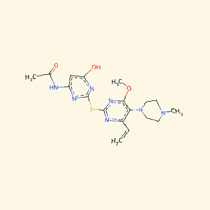 C=Cc1nc(Sc2nc(O)cc(NC(C)=O)n2)nc(OC)c1N1CCN(C)CC1